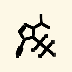 CC(C)N1N=CN(C#N)C1C(Cl)(Cl)C(Cl)(Cl)Cl